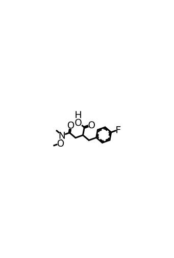 CON(C)C(=O)CC(Cc1ccc(F)cc1)C(=O)O